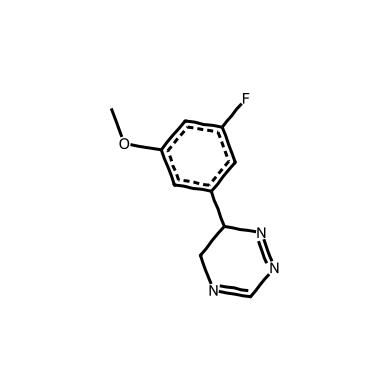 COc1cc(F)cc(C2CN=CN=N2)c1